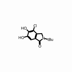 CC(C)(C)N1Cc2c(cc(O)c(O)c2Cl)C1=O